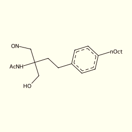 CCCCCCCCc1ccc(CCC(CO)(CN=O)NC(C)=O)cc1